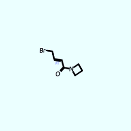 O=C(/C=C/CBr)N1CCC1